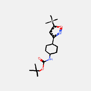 CC(C)(C)OC(=O)NC1CCC(c2cc([Si](C)(C)C)on2)CC1